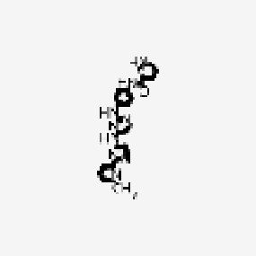 Cc1cccc(-c2nccc(Nc3ccnc(Nc4ccc(NC(=O)C5CCCNC5)cc4)n3)n2)n1